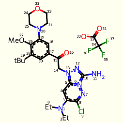 CCN(CC)c1cc2n(nc1Cl)c(N)n[n+]2CC(=O)c1cc(N2CCOCC2)c(OC)c(C(C)(C)C)c1.O=C([O-])C(F)(F)F